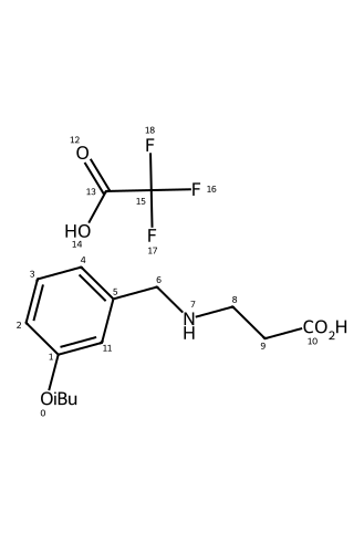 CC(C)COc1cccc(CNCCC(=O)O)c1.O=C(O)C(F)(F)F